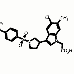 Cc1cc2c(cc1Cl)c(C1CCN(S(=O)(=O)c3ccc(OC(C)C)cc3)C1)cn2CC(=O)O